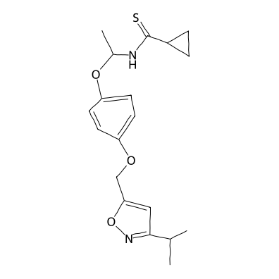 CC(NC(=S)C1CC1)Oc1ccc(OCc2cc(C(C)C)no2)cc1